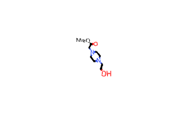 COC(=O)CN1CCN(CCO)CC1